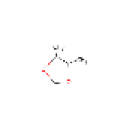 [CH2]C1OCOC1C